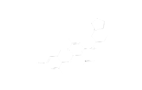 CCC(CN1CCCC1)Nc1cc(C)nc(Oc2c(C)cc(Cl)cc2C)c1C(=O)OC